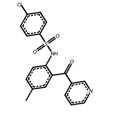 Cc1ccc(NS(=O)(=O)c2ccc(Cl)cc2)c(C(=O)c2cccnc2)c1